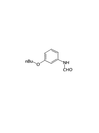 CCCCOc1cccc(NC=O)c1